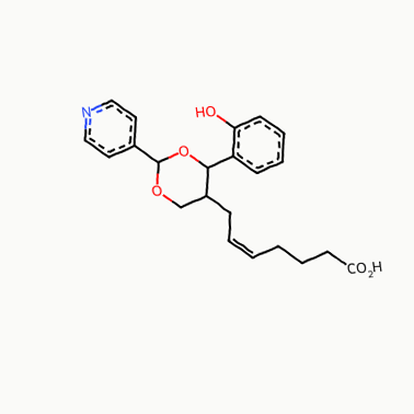 O=C(O)CCC/C=C\CC1COC(c2ccncc2)OC1c1ccccc1O